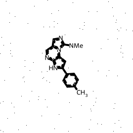 CNc1ncc2cnc3[nH]c(-c4ccc(C)cc4)cc3n12